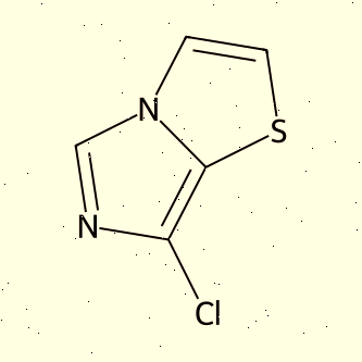 Clc1ncn2ccsc12